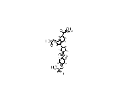 CNC(=O)c1ccc2c(C3CCN(S(=O)(=O)c4ccc(OC(C)C)cc4)C3)cn(CC(=O)O)c2c1